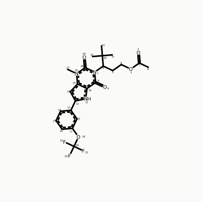 CC(=O)OCCC(n1c(=O)c2[nH]c(-c3cccc(OC(F)(F)F)c3)cc2n(C)c1=O)C(C)(C)C